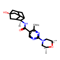 COc1nc(N2C[C@@H](C)O[C@@H](C)C2)ncc1C(=O)N[C@H]1C2CC3CC1C[C@@](O)(C3)C2